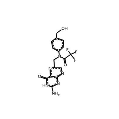 Nc1nc2ncc(CN(C(=O)C(F)(F)F)c3ccc(CO)cc3)nc2c(=O)[nH]1